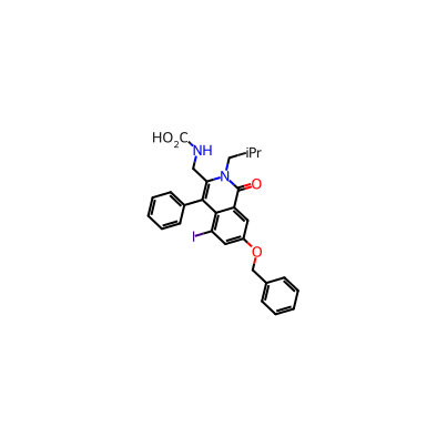 CC(C)Cn1c(CNC(=O)O)c(-c2ccccc2)c2c(I)cc(OCc3ccccc3)cc2c1=O